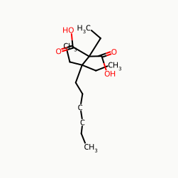 CCCCCCC(CC)(CC)C(CC)(C(=O)O)C(=O)O